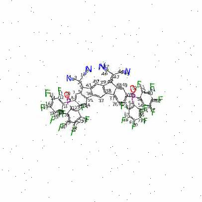 N#CC(C#N)=C1c2cc(P(=O)(c3c(F)c(F)c(F)c(F)c3F)c3c(F)c(F)c(F)c(F)c3F)ccc2-c2cc3c(cc21)C(=C(C#N)C#N)c1cc(P(=O)(c2c(F)c(F)c(F)c(F)c2F)c2c(F)c(F)c(F)c(F)c2F)ccc1-3